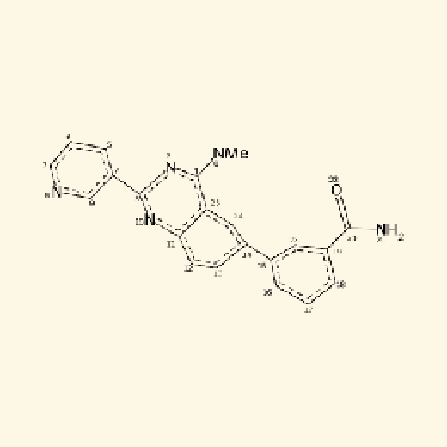 CNc1nc(-c2cccnc2)nc2ccc(-c3cccc(C(N)=O)c3)cc12